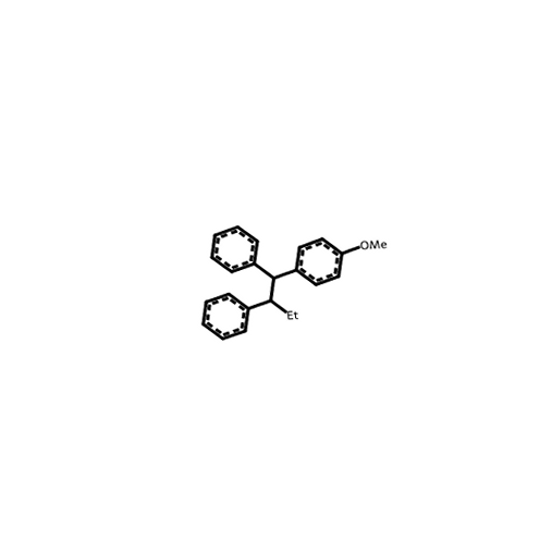 CCC([C](c1ccccc1)c1ccc(OC)cc1)c1ccccc1